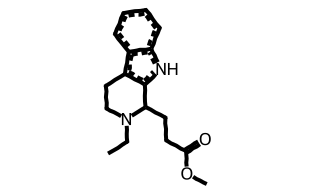 CCN1CCc2c([nH]c3ccccc23)C1CCC(=O)OC